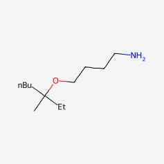 CCCCC(C)(CC)OCCCCN